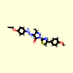 CCOc1ccc(N/N=C2/C(=O)N(c3nc(-c4ccc(OC)cc4)cs3)N=C2C)cc1